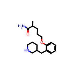 CC(CCCOc1ccccc1CC1CCCNC1)C(N)=O